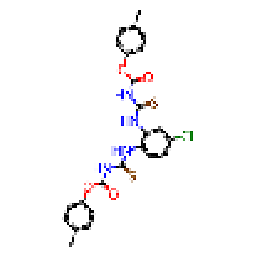 Cc1ccc(OC(=O)NC(=S)Nc2ccc(Cl)cc2NC(=S)NC(=O)Oc2ccc(C)cc2)cc1